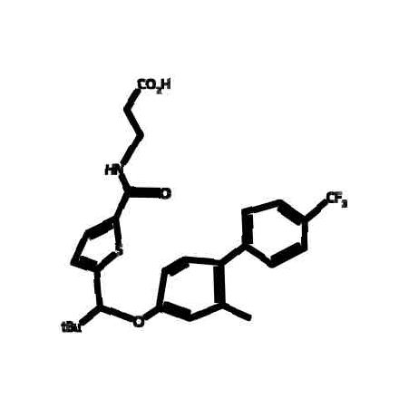 Cc1cc(OC(c2ccc(C(=O)NCCC(=O)O)s2)C(C)(C)C)ccc1-c1ccc(C(F)(F)F)cc1